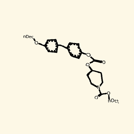 CCCCCCCCCCOc1ccc(-c2ccc(OC(=O)OC3CCN(C(=O)OCCCCCCCC)CC3)cc2)cc1